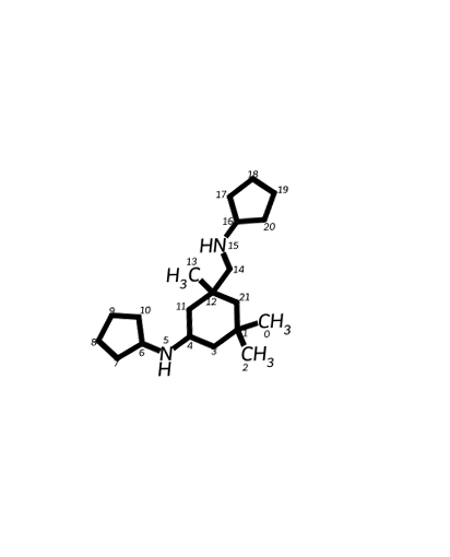 CC1(C)CC(NC2CCCC2)CC(C)(CNC2CCCC2)C1